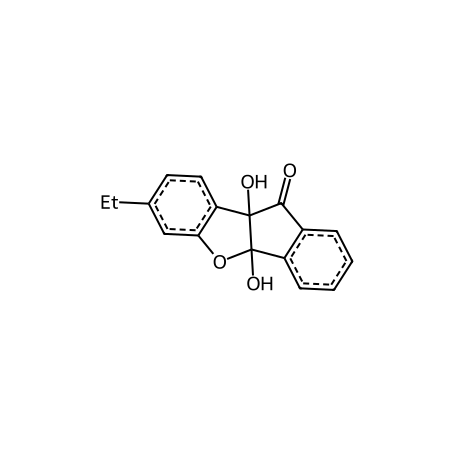 CCc1ccc2c(c1)OC1(O)c3ccccc3C(=O)C21O